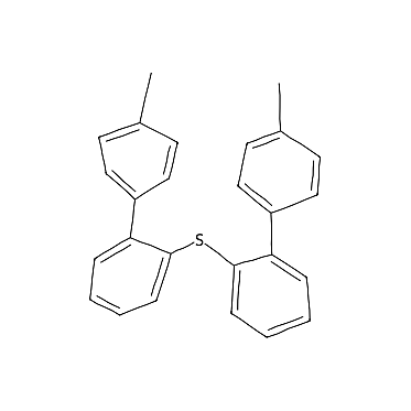 Cc1ccc(-c2ccccc2Sc2ccccc2-c2ccc(C)cc2)cc1